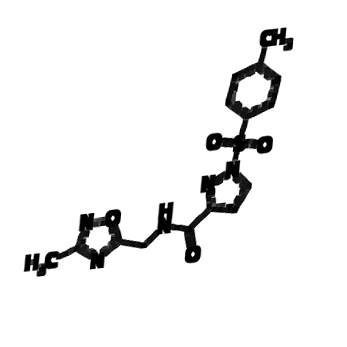 Cc1ccc(S(=O)(=O)n2ccc(C(=O)NCc3nc(C)no3)n2)cc1